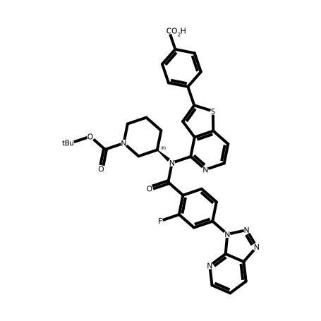 CC(C)(C)OC(=O)N1CCC[C@@H](N(C(=O)c2ccc(-n3nnc4cccnc43)cc2F)c2nccc3sc(-c4ccc(C(=O)O)cc4)cc23)C1